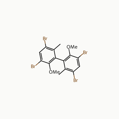 COc1c(Br)cc(Br)c(C)c1-c1c(C)c(Br)cc(Br)c1OC